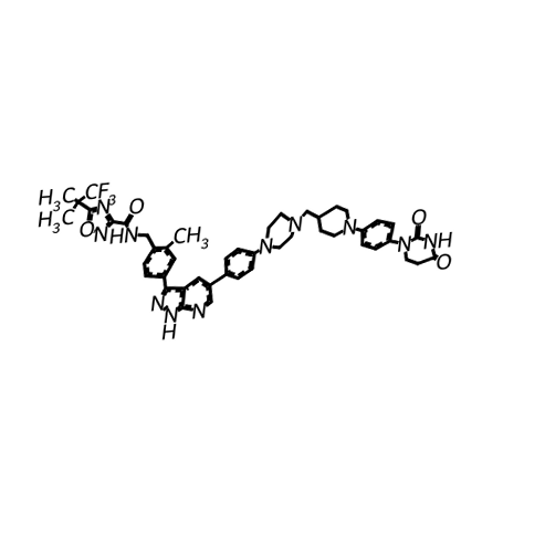 Cc1cc(-c2n[nH]c3ncc(-c4ccc(N5CCN(CC6CCN(c7ccc(N8CCC(=O)NC8=O)cc7)CC6)CC5)cc4)cc23)ccc1CNC(=O)c1noc(C(C)(C)C(F)(F)F)n1